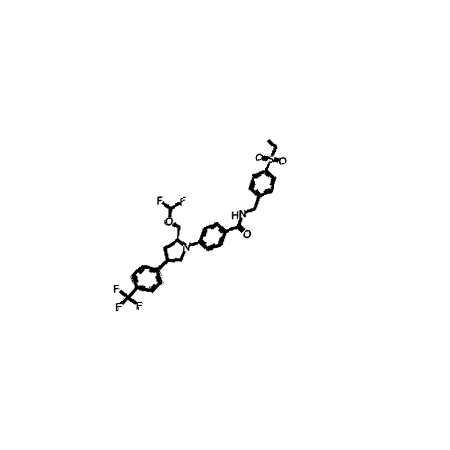 CCS(=O)(=O)c1ccc(CNC(=O)c2ccc(N3CC(c4ccc(C(F)(F)F)cc4)C[C@H]3COC(F)F)cc2)cc1